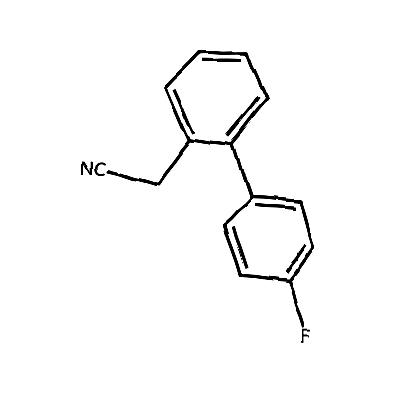 N#CCc1ccccc1-c1ccc(F)cc1